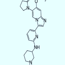 COc1cc2ncc(-c3cccc(NC4CCCNC4)n3)n2cc1N1CCCC1=O